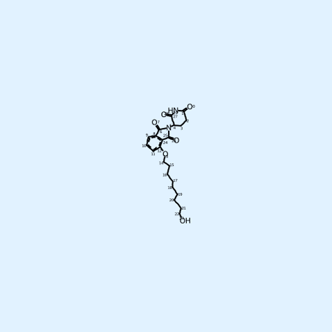 O=C1CCC(N2C(=O)c3cccc(OCCCCCCCCCO)c3C2=O)C(=O)N1